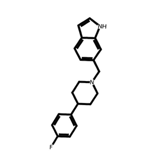 Fc1ccc(C2CCN(Cc3ccc4cc[nH]c4c3)CC2)cc1